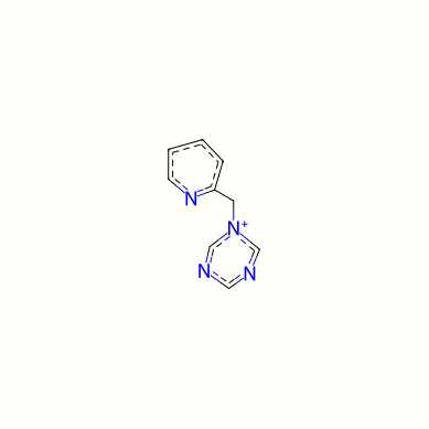 c1ccc(C[n+]2cncnc2)nc1